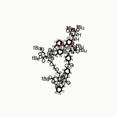 CC(C)(C)OC(=O)C[C@@H](C(=O)OC(C)(C)C)N(CCOCCOCCN([C@@H](CC(=O)OC(C)(C)C)C(=O)OC(C)(C)C)S(=O)(=O)N(Cc1ccc(OC(=O)c2ccc(NC(=NC(=O)OC(C)(C)C)NC(=O)OC(C)(C)C)cc2)cc1)C(=O)OCc1ccccc1)S(=O)(=O)N(Cc1ccc(OC(=O)c2ccc(NC(=NC(=O)OC(C)(C)C)NC(=O)OC(C)(C)C)cc2)cc1)C(=O)OCc1ccccc1